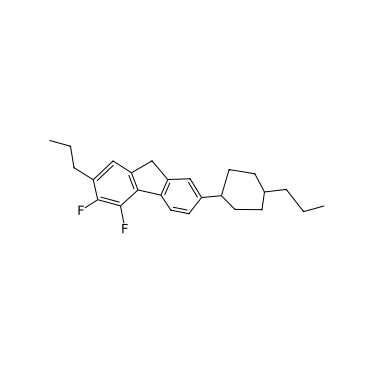 CCCc1cc2c(c(F)c1F)-c1ccc(C3CCC(CCC)CC3)cc1C2